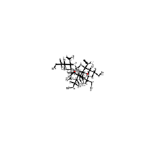 C=C(Cl)C(OP(=O)(OC(C(=C)Cl)(C(Br)(Br)C(C)(C)CBr)C(Br)(Br)C(C)(C)CBr)OC(C(=C)Cl)(C(Br)(Br)C(C)(C)CBr)C(Br)(Br)C(C)(C)CBr)(C(Br)(Br)C(C)(C)CBr)C(Br)(Br)C(C)(C)CBr